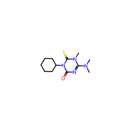 CN(C)c1nc(=O)n(C2CCCCC2)c(=S)n1C